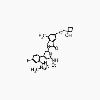 CCNc1cc(-c2ccc(F)cc2-c2nncn2C)cc(N2Cc3c(cc(COCC4(O)CCC4)cc3C(F)(F)F)C2=O)n1